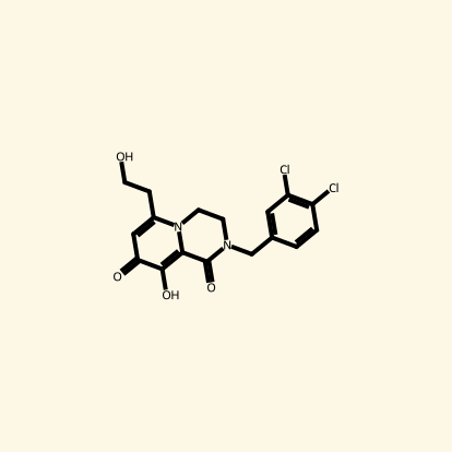 O=C1c2c(O)c(=O)cc(CCO)n2CCN1Cc1ccc(Cl)c(Cl)c1